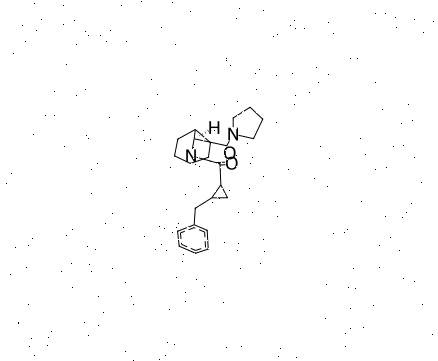 O=C([C@@H]1C2CCC(CC2)N1C(=O)C1CC1Cc1ccccc1)N1CCCC1